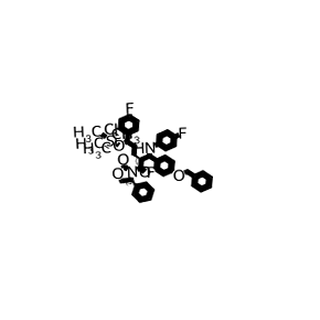 CC(C)(C)[Si](C)(C)OC(CC[C@H](C(=O)N1C(=O)OC[C@@H]1c1ccccc1)C(Nc1ccc(F)cc1)c1ccc(OCc2ccccc2)cc1F)c1ccc(F)cc1